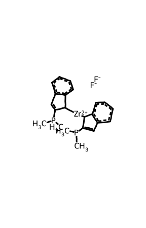 CP(C)C1=Cc2ccccc2[CH]1[Zr+2][CH]1C(P(C)C)=Cc2ccccc21.[F-].[F-]